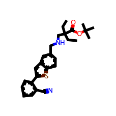 CCC(CC)(CNCc1ccc2sc(-c3ccccc3C#N)cc2c1)C(=O)OC(C)(C)C